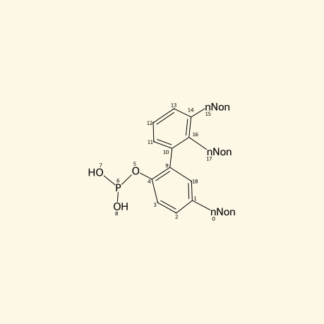 CCCCCCCCCc1ccc(OP(O)O)c(-c2cccc(CCCCCCCCC)c2CCCCCCCCC)c1